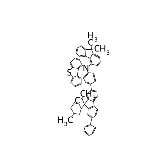 CC1CC2CC(C)C3(c4cc(-c5ccccc5)ccc4-c4ccc(-c5ccc(N(c6cccc7c6-c6ccccc6C7(C)C)c6cccc7sc8ccccc8c67)cc5)cc43)C(C1)C2